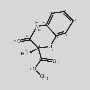 COC(=O)[C@@]1(C)Oc2ccccc2NC1=O